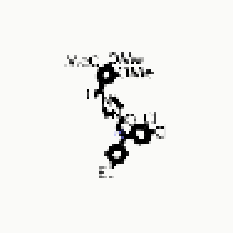 CCc1ccc(/C(=C/C(=O)N2CCN(C(=O)c3cc(OC)c(OC)c(OC)c3)CC2)c2ccc(Cl)c(Cl)c2)cc1